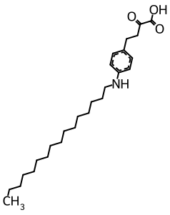 CCCCCCCCCCCCCCCCNc1ccc(CCC(=O)C(=O)O)cc1